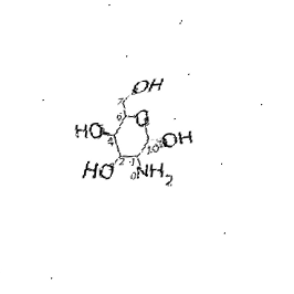 NC1C(O)[C@@H](O)C(CO)O[C@@H]1O